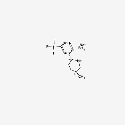 C[C@H]1CC[C@H](c2cncc(C(F)(F)F)c2)NC1.[BH4-].[Na+]